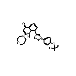 O=c1cc(N2CCCOCC2)[nH]c2c(-c3cn(-c4ccc(OC(F)(F)F)cc4)nn3)cccc12